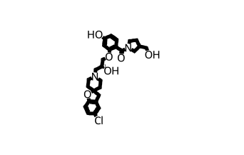 O=C(c1ccc(O)cc1OC[C@@H](O)CN1CCC2(CC1)Cc1cc(Cl)ccc1O2)N1CCC(CO)C1